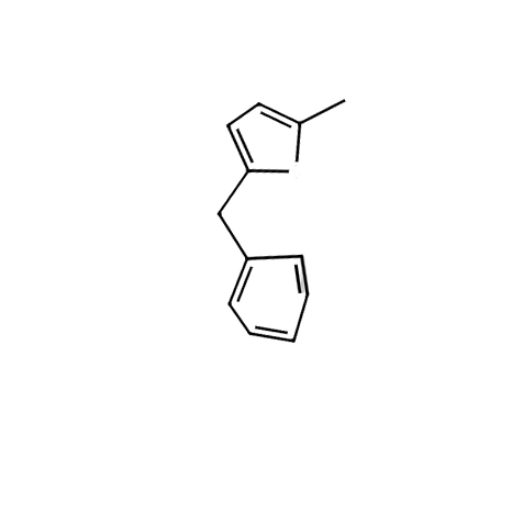 Cc1ccc(Cc2ccccc2)s1